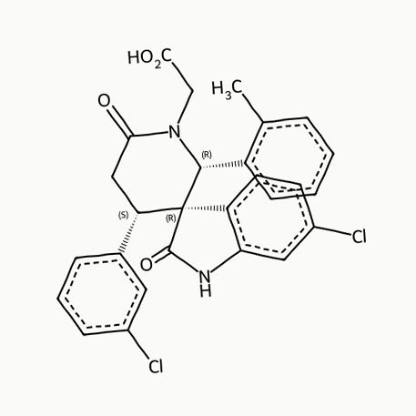 Cc1ccccc1[C@H]1N(CC(=O)O)C(=O)C[C@@H](c2cccc(Cl)c2)[C@]12C(=O)Nc1cc(Cl)ccc12